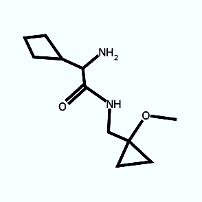 COC1(CNC(=O)C(N)C2CCC2)CC1